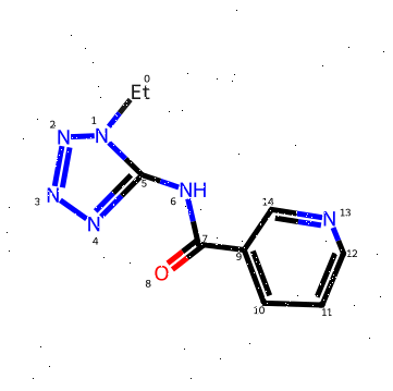 CCn1nnnc1NC(=O)c1cccnc1